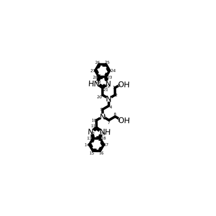 OCCN(CCN(CCO)Cc1nc2ccccc2[nH]1)Cc1nc2ccccc2[nH]1